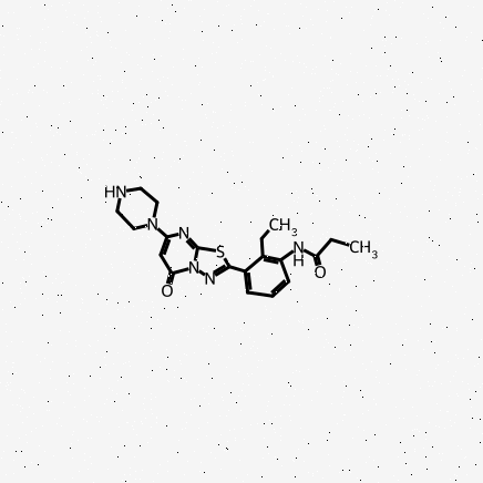 CCC(=O)Nc1cccc(-c2nn3c(=O)cc(N4CCNCC4)nc3s2)c1CC